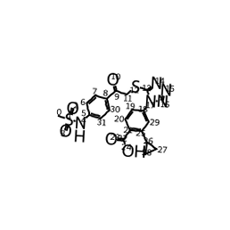 CS(=O)(=O)Nc1ccc(C(=O)CSc2nnnn2-c2ccc(C(=O)O)c(C3CC3)c2)cc1